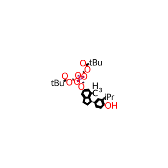 Cc1cc(OCP(=O)(OCOC(=O)C(C)(C)C)OCOC(=O)C(C)(C)C)cc2c1[C@@H](c1ccc(O)c(C(C)C)c1)CC2